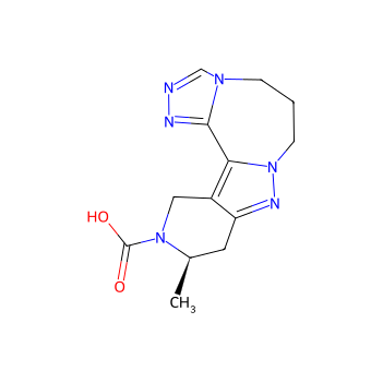 C[C@@H]1Cc2nn3c(c2CN1C(=O)O)-c1nncn1CCC3